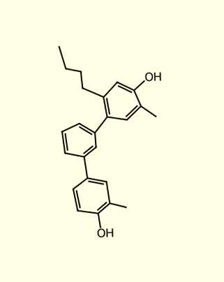 CCCCc1cc(O)c(C)cc1-c1cccc(-c2ccc(O)c(C)c2)c1